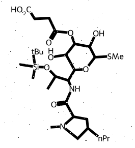 CCCC1CC(C(=O)NC(C(C)O[Si](C)(C)C(C)(C)C)C2OC(SC)C(O)C(OC(=O)CCC(=O)O)C2O)N(C)C1